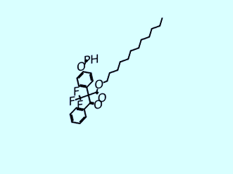 CCCCCCCCCCCCOC(=O)C(C(=O)c1ccccc1)(c1ccccc1)C(F)(F)F.O=P